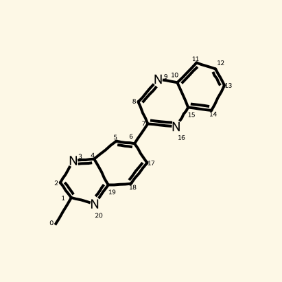 Cc1cnc2cc(-c3cnc4ccccc4n3)ccc2n1